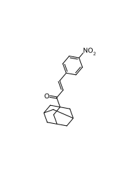 O=C(C=Cc1ccc([N+](=O)[O-])cc1)C12CC3CC(CC(C3)C1)C2